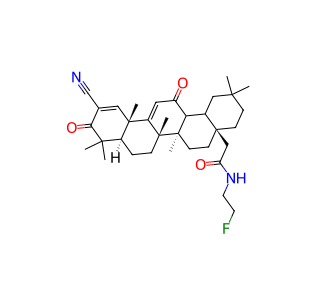 CC1(C)CC[C@]2(CC(=O)NCCF)CC[C@]3(C)C(C(=O)C=C4[C@@]5(C)C=C(C#N)C(=O)C(C)(C)[C@@H]5CC[C@]43C)C2C1